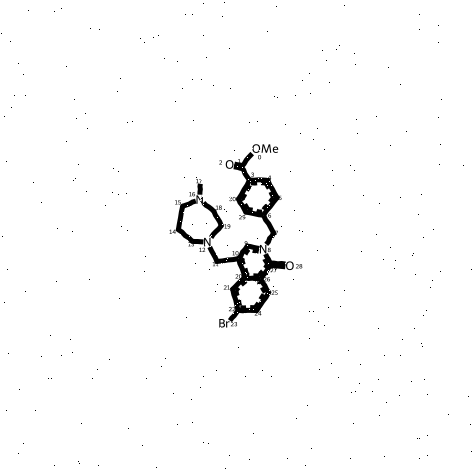 COC(=O)c1ccc(Cn2cc(CN3CCCN(C)CC3)c3cc(Br)ccc3c2=O)cc1